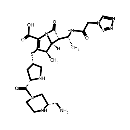 C[C@@H](NC(=O)Cn1cnnn1)[C@H]1C(=O)N2C(C(=O)O)=C(S[C@@H]3CN[C@H](C(=O)N4CCN[C@@H](CN)C4)C3)[C@H](C)[C@H]12